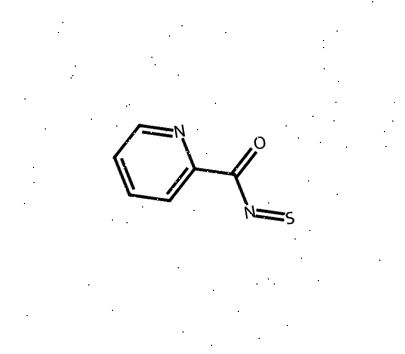 O=C(N=S)c1ccccn1